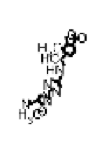 COc1nn(-c2ncc(CNC[C@H](O)c3ccc4c(c3C)COC4=O)cn2)cc1C#N